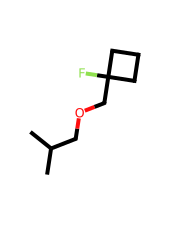 CC(C)COCC1(F)CCC1